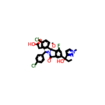 CCC(O)(c1cc(F)c2c(c1)C(=O)N([C@@H](CCC(=O)O)c1ccc(Cl)cc1)[C@@]2(OC)c1ccc(Cl)cc1)c1ccn(C)n1